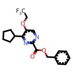 O=C(OCc1ccccc1)c1ncc(OCC(F)(F)F)c(C2CCCC2)n1